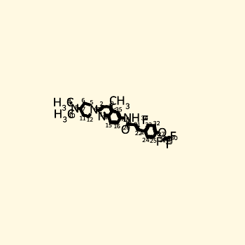 Cc1cc(N2CCC(N(C)C)CC2)nc2ccc(NC(=O)C=Cc3ccc(OC(F)(F)F)cc3F)cc12